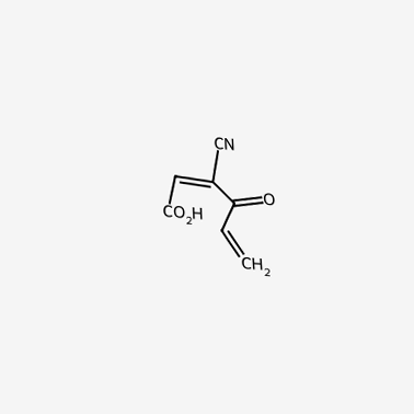 C=CC(=O)C(C#N)=CC(=O)O